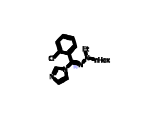 CCCCCCN(CC)/N=C(\c1ccccc1Cl)n1ccnc1